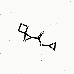 O=C(OC1CC1)C1OC12CCC2